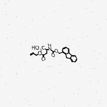 C=CCOC(=O)CC(NC(=O)OCc1cccc2c1Cc1ccccc1-2)C(=O)O